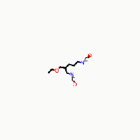 CCOCC(CCCN=C=O)CN=C=O